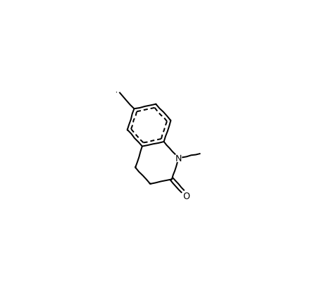 [CH2]c1ccc2c(c1)CCC(=O)N2C